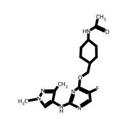 CC(=O)NC1CCC(COc2nc(Nc3cn(C)nc3C)ncc2F)CC1